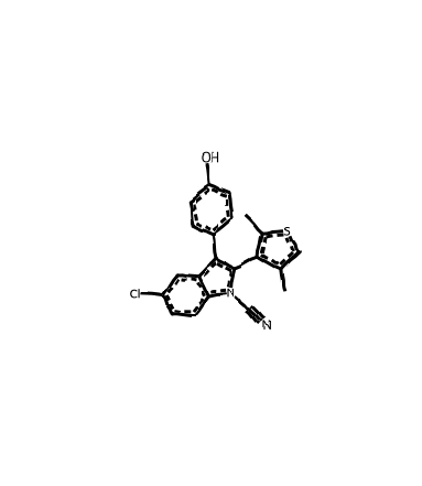 Cc1csc(C)c1-c1c(-c2ccc(O)cc2)c2cc(Cl)ccc2n1C#N